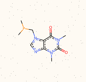 Cn1c(=O)c2c(ncn2CP(C)C)n(C)c1=O